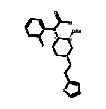 CCC(=O)N(c1ccccc1F)[C@H]1CCN(CCc2cccs2)C[C@H]1OC